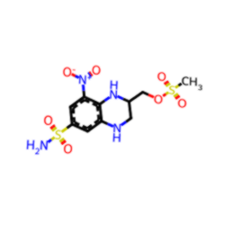 CS(=O)(=O)OCC1CNc2cc(S(N)(=O)=O)cc([N+](=O)[O-])c2N1